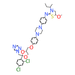 CCC(C)N1CC(OC)SC1=Nc1ccc(N2CCN(c3ccc(OCC4COC(Cn5cncn5)(c5ccc(Cl)cc5Cl)O4)cc3)CC2)cc1